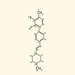 Cc1ccc(-c2ccc(C=CC3CCC(C)CC3)cc2)c(F)c1F